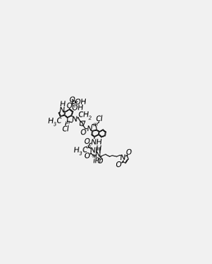 C=C(N1C[C@@H](CCl)c2c1cc(OP(=O)(O)O)c1[nH]cc(C)c21)C12CC(C(=O)N3C[C@@H](CCl)c4c3cc(NC(=O)[C@H](C)NC(=O)[C@@H](NC(=O)CCCCCN3C(=O)C=CC3=O)C(C)C)c3ccccc43)(C1)C2